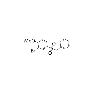 COc1ccc(S(=O)(=O)Cc2ccccc2)cc1Br